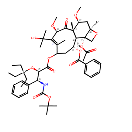 CC[Si](CC)(CC)O[C@@H](C(=O)OC1C[C@@H](OC(=O)c2ccccc2)[C@@H]2[C@]3(OC(C)=O)CO[C@@H]3C[C@H](OC)[C@@]2(C)C(=O)[C@H](OC)/C(C(C)(C)O)=C/1C)[C@@H](NC(=O)OC(C)(C)C)c1ccccc1